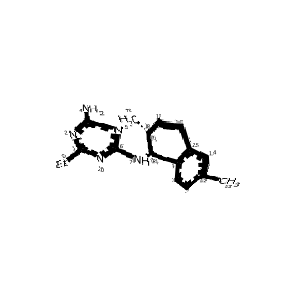 CCc1nc(N)nc(N[C@H]2c3ccc(C)cc3CC[C@H]2C)n1